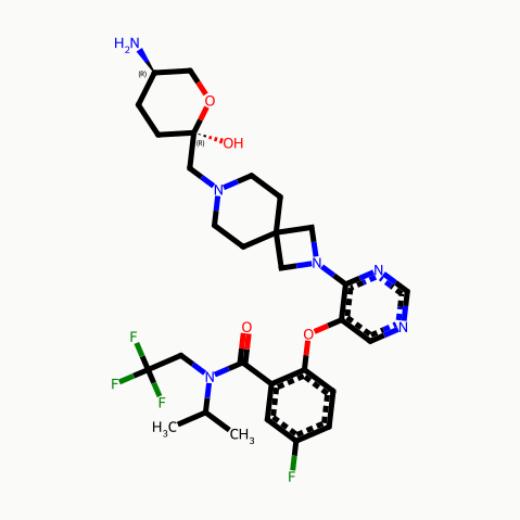 CC(C)N(CC(F)(F)F)C(=O)c1cc(F)ccc1Oc1cncnc1N1CC2(CCN(C[C@@]3(O)CC[C@@H](N)CO3)CC2)C1